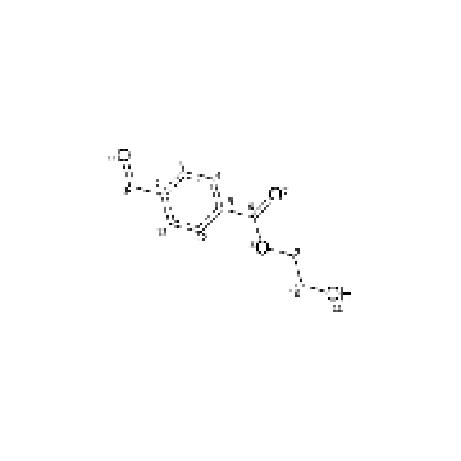 O=[C]c1ccc(C(=O)OC[CH]O)cc1